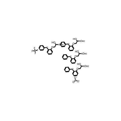 CCCCCCCCCCC(O)COc1ccccc1[I+]c1ccccc1.CCCCCCCCCCC(O)COc1ccccc1[I+]c1ccccc1.CCCCCCCCCCC(O)COc1ccccc1[I+]c1ccccc1.CCCCCCCCCCC(O)COc1ccccc1[I+]c1ccccc1.F[B-](F)(F)F.[O-]B([O-])[O-]